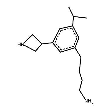 CC(C)c1cc(CCCCN)cc(C2CNC2)c1